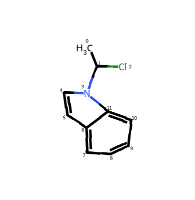 CC(Cl)n1ccc2ccccc21